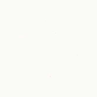 Oc1ccc2cc(C3(c4ccc5cc(O)ccc5c4)c4cc(Br)ccc4-c4ccc(Br)cc43)ccc2c1